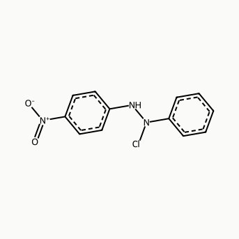 O=[N+]([O-])c1ccc(NN(Cl)c2ccccc2)cc1